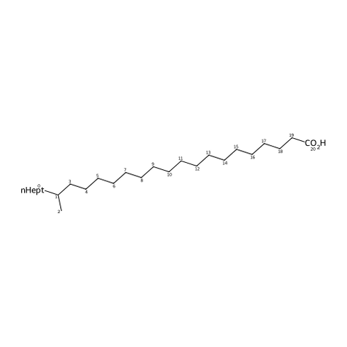 CCCCCCCC(C)CCCCCCCCCCCCCCCCCC(=O)O